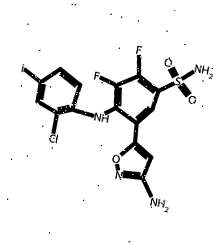 Nc1cc(-c2cc(S(N)(=O)=O)c(F)c(F)c2Nc2ccc(I)cc2Cl)on1